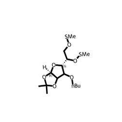 CCCCOC1C2OC(C)(C)O[C@H]2O[C@@H]1C(COSC)OSC